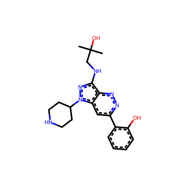 CC(C)(O)CNc1nn(C2CCNCC2)c2cc(-c3ccccc3O)nnc12